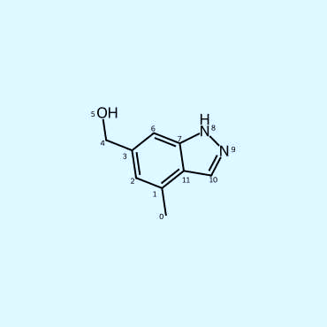 Cc1cc(CO)cc2[nH]ncc12